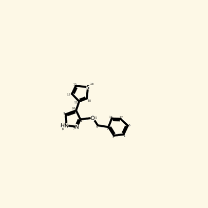 c1ccc(COc2n[nH]cc2-c2ccsc2)cc1